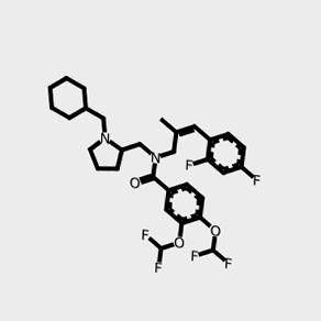 CC(=Cc1ccc(F)cc1F)CN(CC1CCCN1CC1CCCCC1)C(=O)c1ccc(OC(F)F)c(OC(F)F)c1